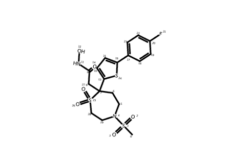 CS(=O)(=O)N1CCC(CC(=O)NO)(c2ccc(-c3ccc(F)cc3)s2)S(=O)(=O)CC1